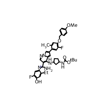 CCc1cc(O)c(F)cc1/N=C(\N)c1cnn2cc(-c3cc(F)c(OCc4ccc(OC)cc4)cc3C)cc2c1N[C@@H]1CC[C@H](NC(=O)OC(C)(C)C)C1